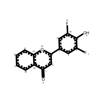 O=c1cc(-c2cc(F)c(O)c(F)c2)oc2ccccc12